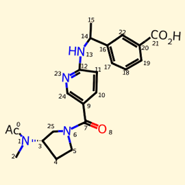 CC(=O)N(C)[C@H]1CCN(C(=O)c2ccc(NC(C)c3cccc(C(=O)O)c3)nc2)C1